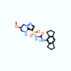 COC1CNc2c(S(=O)(=O)NC(=O)Nc3c4c(cc5c3CCC5)CCC4)cnn2C1